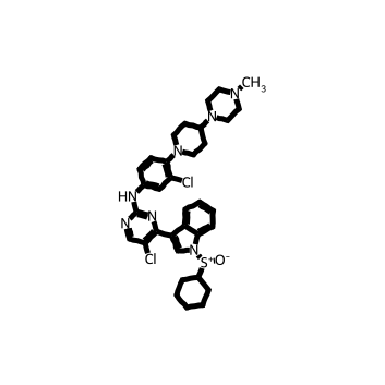 CN1CCN(C2CCN(c3ccc(Nc4ncc(Cl)c(-c5cn([S+]([O-])C6CCCCC6)c6ccccc56)n4)cc3Cl)CC2)CC1